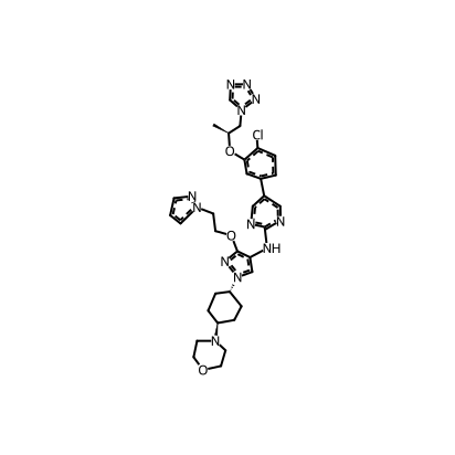 C[C@@H](Cn1cnnn1)Oc1cc(-c2cnc(Nc3cn([C@H]4CC[C@H](N5CCOCC5)CC4)nc3OCCn3cccn3)nc2)ccc1Cl